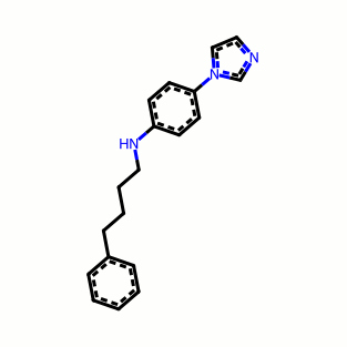 c1ccc(CCCCNc2ccc(-n3ccnc3)cc2)cc1